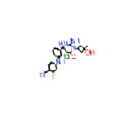 C[C@@]1(c2cccc(Nc3ccc(C#N)c(F)c3)c2Cl)CC(=O)N([C@H]2C[C@@](C)(O)C2)C(=N)N1